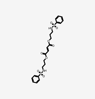 O=C(/C=C/C(=O)OCCCNS(=O)(=O)c1ccccc1)OCCCNS(=O)(=O)c1ccccc1